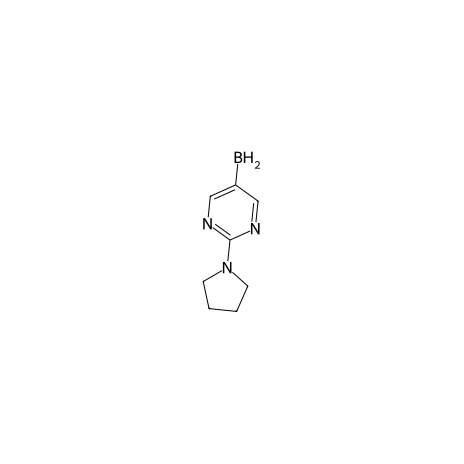 Bc1cnc(N2CCCC2)nc1